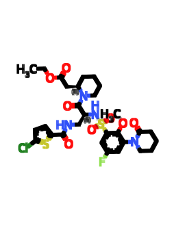 CCOC(=O)C[C@H]1CCCCN1C(=O)[C@H](CNC(=O)c1ccc(Cl)s1)NS(=O)(=O)c1cc(F)cc(N2CCCCC2=O)c1OC